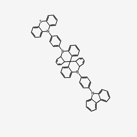 C1=CC2B(c3ccc(N4c5ccccc5Sc5ccccc54)cc3)c3ccccc3C3(c4ccccc4B(c4ccc(-n5c6ccccc6c6ccccc65)cc4)C4C=CC=CC43)C2C=C1